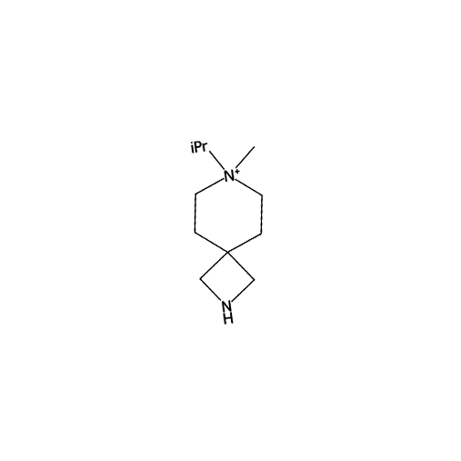 CC(C)[N+]1(C)CCC2(CC1)CNC2